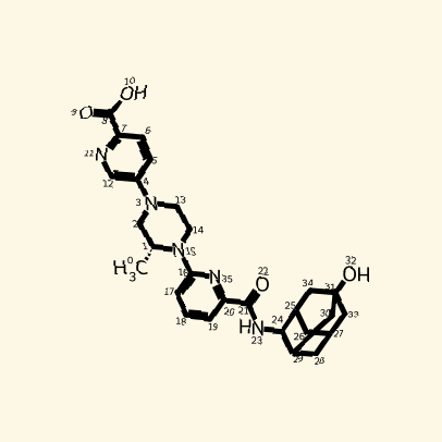 C[C@@H]1CN(c2ccc(C(=O)O)nc2)CCN1c1cccc(C(=O)NC2C3CC4CC2CC(O)(C4)C3)n1